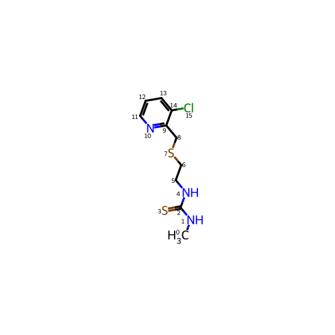 CNC(=S)NCCSCc1ncccc1Cl